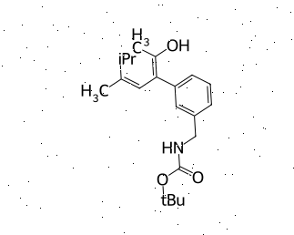 C/C(=C/C(=C(\C)O)c1cccc(CNC(=O)OC(C)(C)C)c1)C(C)C